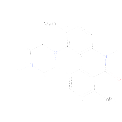 CCCCc1ccccc1C(=O)N(C)c1ccc(OC)c(N2CCN(C)CC2)c1